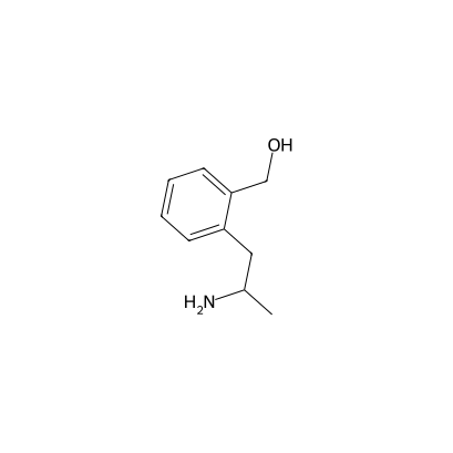 CC(N)Cc1ccccc1CO